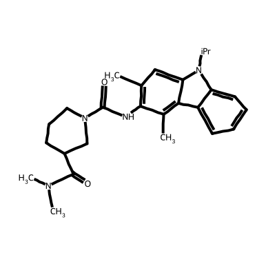 Cc1cc2c(c(C)c1NC(=O)N1CCCC(C(=O)N(C)C)C1)c1ccccc1n2C(C)C